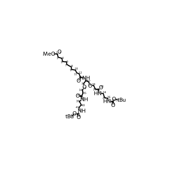 COC(=O)CCCCCCCCCCC(=O)NC(COCCC(=O)NCCCNC(=O)OC(C)(C)C)COCCC(=O)NCCCNC(=O)OC(C)(C)C